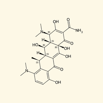 C[C@@H]1c2c(N(C)C)ccc(O)c2C(=O)C2=C(O)[C@@]3(O)C(=O)C(C(N)=O)=C(O)[C@H](N(C)C)[C@H]3[C@H](O)[C@H]21